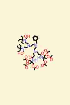 CCC(CC)(CC)N(CO)CCN(CCN(CCN(CCC(=O)NC(COC(C)=O)(COC(C)=O)COC(C)=O)CCC(=O)NC(COC(C)=O)(COC(C)=O)COC(C)=O)Cc1ccccc1)CCN(CO)C(CC)(CC)CC